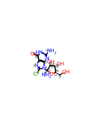 Nc1nc2c(nc(Cl)n2[C@]2(N)O[C@H](CO)[C@@H](O)[C@H]2O)c(=O)[nH]1